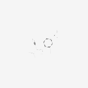 CC(C)C(C#N)Nc1ccc(C(F)(F)F)cc1F